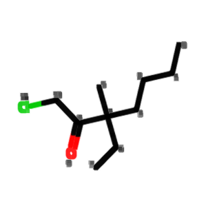 CCCCC(C)(CC)C(=O)CCl